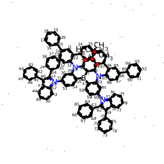 CC(C)(C)c1cc2c3c(c1)N(c1ccc(-c4ccccc4)cc1-c1ccccc1)c1cc(-n4c(-c5ccccc5)c(-c5ccccc5)c5ccccc54)ccc1B3c1ccc(-n3c(-c4ccccc4)c(-c4ccccc4)c4ccccc43)cc1N2c1ccc(-c2ccccc2)cc1-c1ccccc1